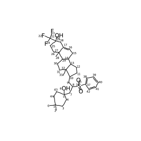 CC1(C)CCC(O)(CC(CC2CCC3C4CC=C5CC(O)(C(F)(F)F)CCC5(C)C4CCC23C)S(=O)(=O)c2ccccc2)CC1